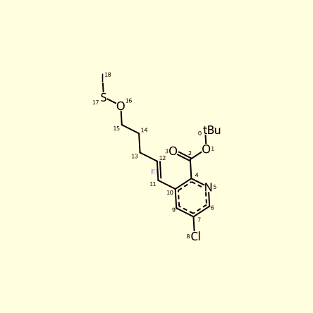 CC(C)(C)OC(=O)c1ncc(Cl)cc1/C=C/CCCOSI